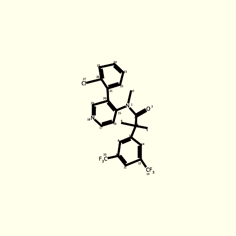 CN(C(=O)C(C)(C)c1cc(C(F)(F)F)cc(C(F)(F)F)c1)c1ccncc1-c1ccccc1Cl